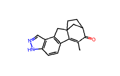 CC1=C2c3ccc4[nH]ncc4c3CC23CCC(C3)C1=O